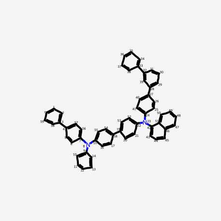 c1ccc(-c2ccc(N(c3ccccc3)c3ccc(-c4ccc(N(c5ccc(-c6cccc(-c7ccccc7)c6)cc5)c5cccc6ccccc56)cc4)cc3)cc2)cc1